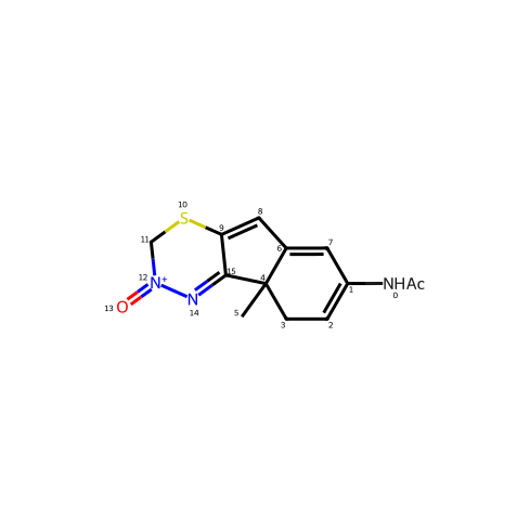 CC(=O)NC1=CCC2(C)C(=C1)C=C1SC[N+](=O)N=C12